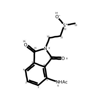 CC(=O)Nc1cccc2c1C(=O)N(CC[S+](C)[O-])C2=O